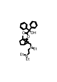 CCN(CC)CCN(CC)CC1C2CCC(C)(C1OC(=O)C(O)(c1ccccc1)c1ccccc1)C2(C)C